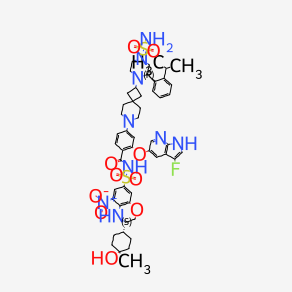 CC(C)c1ccccc1[C@@H]1CN(S(N)(=O)=O)CCN1C1CC2(CCN(c3ccc(C(=O)NS(=O)(=O)c4cc5c(c([N+](=O)[O-])c4)N[C@@H](C4CCC(C)(O)CC4)CO5)c(Oc4cnc5[nH]cc(F)c5c4)c3)CC2)C1